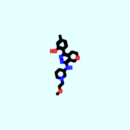 COCCN1CCCC(Nc2nnc(-c3ccc(C)cc3O)c3c2COCC3)C1